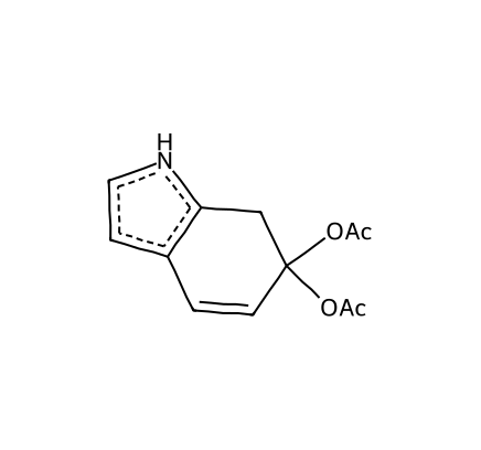 CC(=O)OC1(OC(C)=O)C=Cc2cc[nH]c2C1